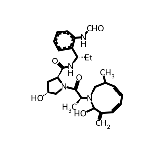 C=C1/C=C\C=C/C(C)CN([C@@H](C)C(=O)N2C[C@H](O)C[C@H]2C(=O)N[C@@H](CC)c2ccccc2NC=O)C1O